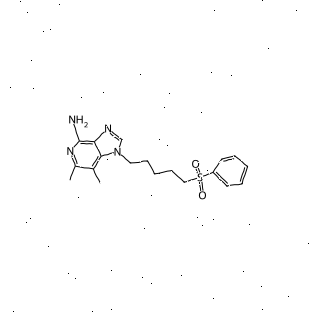 Cc1nc(N)c2ncn(CCCCCS(=O)(=O)c3ccccc3)c2c1C